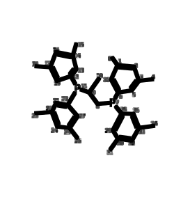 Cc1cc(C)cc(P(CC(C)P(c2cc(C)cc(C)c2)c2cc(C)cc(C)c2)c2cc(C)cc(C)c2)c1